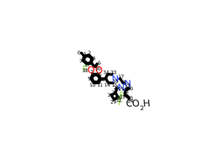 Cc1ccc(C2(C)Oc3cccc(C4CCN(Cc5ncc(/C=C/C(=O)O)n5CC5CCC5(F)F)CC4)c3O2)c(F)c1